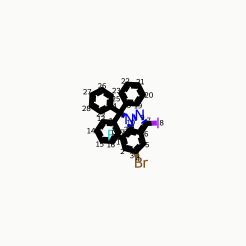 Fc1cc(Br)cc2c(I)nn(C(c3ccccc3)(c3ccccc3)c3ccccc3)c12